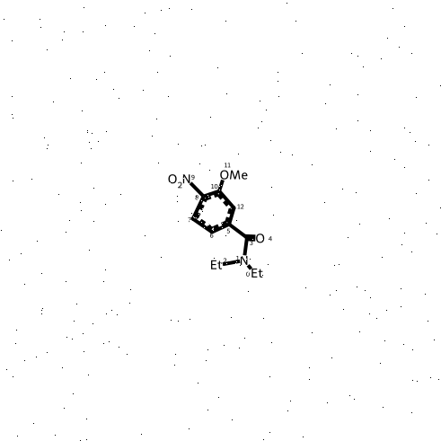 CCN(CC)C(=O)c1ccc([N+](=O)[O-])c(OC)c1